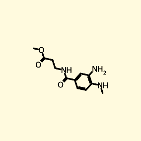 CNc1ccc(C(=O)NCCC(=O)OC)cc1N